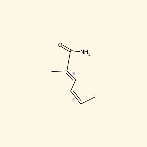 C/C=C\C=C(/C)C(N)=O